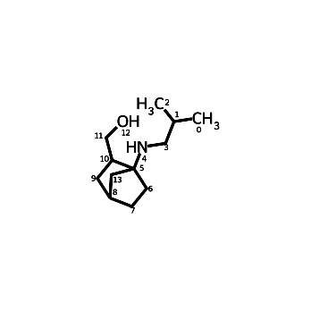 CC(C)CNC12CCC(CC1CO)C2